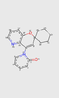 O=c1ccccn1C1=CC2(CCCCC2)Oc2cccnc21